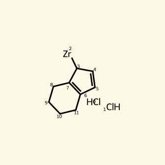 Cl.Cl.[Zr][CH]1C=CC2=C1CCCC2